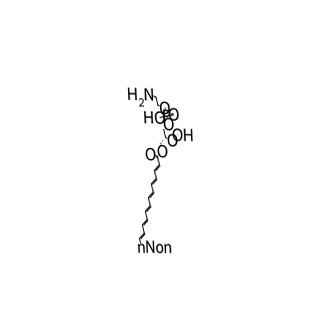 CCCCCCCCCC=CC=CC=CC=CC=CC=CC(=O)OC[C@H](COP(=O)(O)OCCN)OO